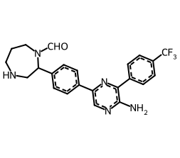 Nc1ncc(-c2ccc(C3CNCCCN3C=O)cc2)nc1-c1ccc(C(F)(F)F)cc1